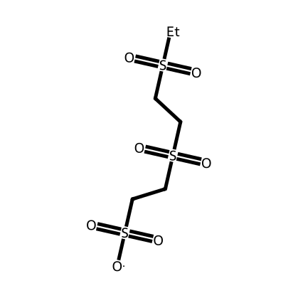 CCS(=O)(=O)CCS(=O)(=O)CCS([O])(=O)=O